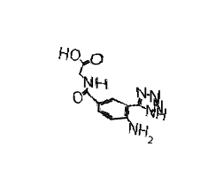 Nc1ccc(C(=O)NCC(=O)O)cc1-c1nnn[nH]1